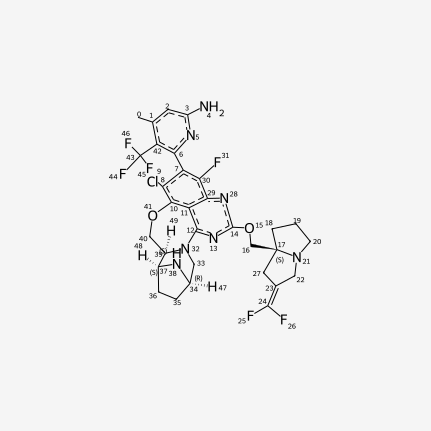 Cc1cc(N)nc(-c2c(Cl)c3c4c(nc(OC[C@@]56CCCN5CC(=C(F)F)C6)nc4c2F)N2C[C@H]4CC[C@H](N4)[C@H]2CO3)c1C(F)(F)F